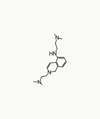 CN(C)CCNc1cccc2c1C=CN(CCN(C)C)C2